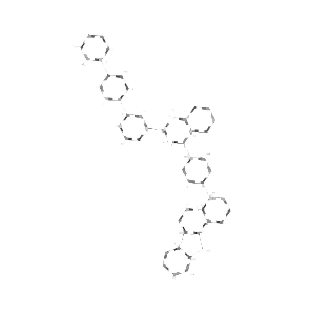 c1ccc(-c2ccc(-c3cccc(-c4nc(-c5ccc(-c6cccc7c8c(ccc67)-c6ccccc6C8)cc5)c5ccccc5n4)c3)cc2)cc1